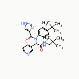 CC(C)(C)CNC(=O)C(c1cccnc1)N(C(=O)c1c[nH]cn1)c1ccc(C(C)(C)C)cc1